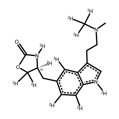 [2H]c1c(C[C@]2([2H])N([2H])C(=O)OC2([2H])[2H])c([2H])c2c(CCN(C)C([2H])([2H])[2H])cn([2H])c2c1[2H]